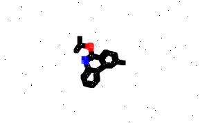 Cc1ccc2c(OC(C)C)nc3ccccc3c2c1